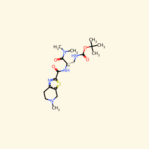 CN1CCc2nc(C(=O)N[C@@H](CNC(=O)OC(C)(C)C)C(=O)N(C)C)sc2C1